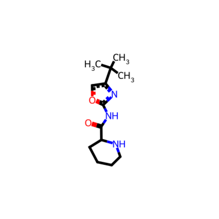 CC(C)(C)c1coc(NC(=O)C2CCCCN2)n1